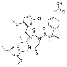 COc1cc(OC)c(CN2C[C@@H](Cc3cc(Cl)ccc3OC)C(=O)N(C(=O)N[C@H](C)c3ccc(CC(=O)O)cc3)CC2=S)c(OC)c1